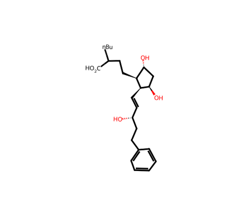 CCCCC(CC[C@@H]1[C@H](/C=C/[C@@H](O)CCc2ccccc2)[C@H](O)C[C@H]1O)C(=O)O